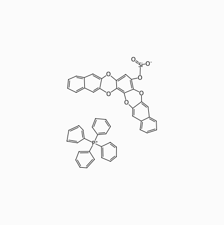 O=[Si]([O-])Oc1cc2oc3cc4ccccc4cc3oc2c2oc3cc4ccccc4cc3oc12.c1ccc([P+](c2ccccc2)(c2ccccc2)c2ccccc2)cc1